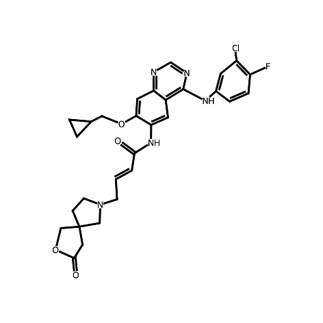 O=C(C=CCN1CCC2(COC(=O)C2)C1)Nc1cc2c(Nc3ccc(F)c(Cl)c3)ncnc2cc1OCC1CC1